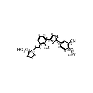 CCc1c(CCN2CCC[C@@H]2C(=O)O)cccc1-c1cnc(-c2ccc(OC(C)C)c(C#N)c2)s1